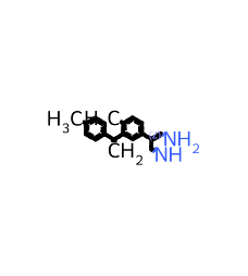 C=C(c1ccc(C)cc1)c1cc(/C(C=N)=C/N)ccc1C